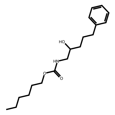 CCCCCCOC(=O)NCC(O)CCCc1ccccc1